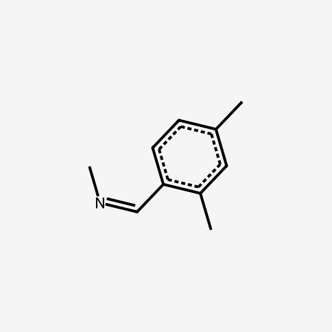 C/N=C\c1ccc(C)cc1C